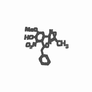 COc1cc(-c2noc(C)n2)c(C(=O)Cc2ccccc2)c([N+](=O)[O-])c1O